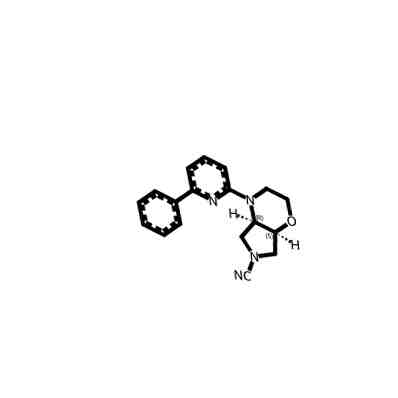 N#CN1C[C@@H]2OCCN(c3cccc(-c4ccccc4)n3)[C@@H]2C1